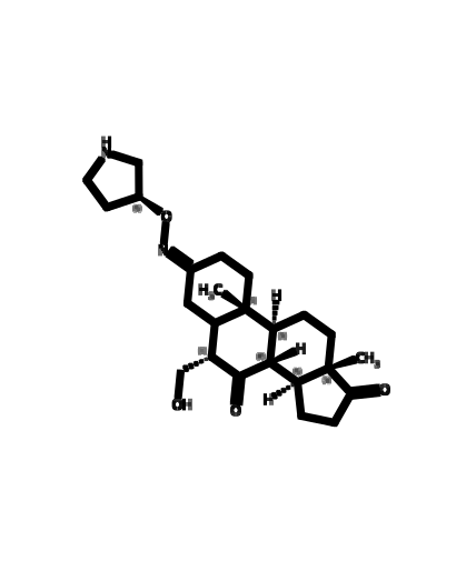 C[C@]12CCC(=NO[C@H]3CCNC3)CC1[C@@H](CO)C(=O)[C@@H]1[C@@H]2CC[C@]2(C)C(=O)CC[C@@H]12